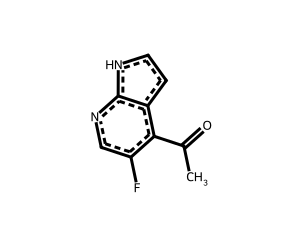 CC(=O)c1c(F)cnc2[nH]ccc12